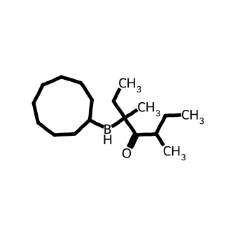 CCC(C)C(=O)C(C)(BC1CCCCCCCC1)CC